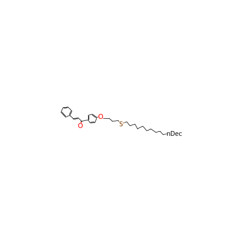 CCCCCCCCCCCCCCCCCCCCSCCCCOc1ccc(C(=O)C=Cc2ccccc2)cc1